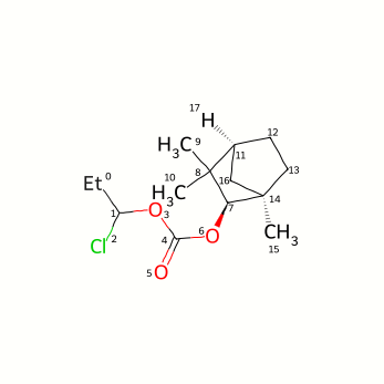 CCC(Cl)OC(=O)O[C@H]1C(C)(C)[C@H]2CC[C@]1(C)C2